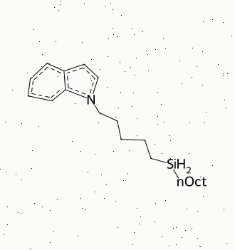 CCCCCCCC[SiH2]CCCCCn1ccc2ccccc21